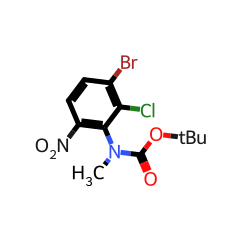 CN(C(=O)OC(C)(C)C)c1c([N+](=O)[O-])ccc(Br)c1Cl